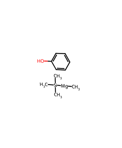 Oc1ccccc1.[CH3][Mg][Si](C)(C)C